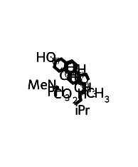 CC(C)CCC[C@@H](C)[C@H]1CC[C@H]2[C@@H]3CC=C4C[C@@H](O)CC[C@]4(C)[C@H]3CC[C@]12C.CNCC(=O)O.P